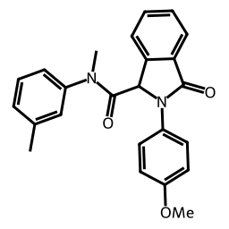 COc1ccc(N2C(=O)c3ccccc3C2C(=O)N(C)c2cccc(C)c2)cc1